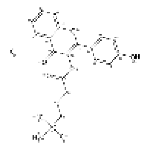 C[N+](C)(C)CCCC(=O)Oc1c(-c2ccc(O)cc2)oc2ccccc2c1=O.[Cl-]